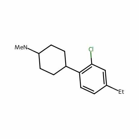 CCc1ccc(C2CCC(NC)CC2)c(Cl)c1